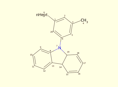 CCCCCCCc1cc(C)cc(N2c3ccccc3C3C=CC=CC32)c1